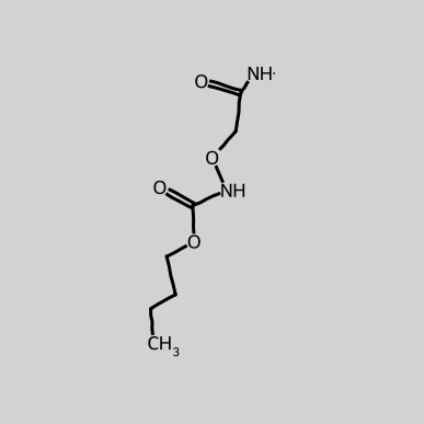 CCCCOC(=O)NOCC([NH])=O